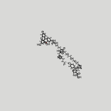 COc1ccc(S(=O)(=O)N(Cc2cn(CCOCCOCCOCCNC(=O)[C@H](CCCCNC(=S)Nc3ccc(-c4c5ccc(=O)cc-5oc5cc(O)ccc45)c(C(=O)O)c3)NC(=O)Cn3cc(CCCF)nn3)nn2)[C@@H](C(=O)NO)C(C)C)cc1